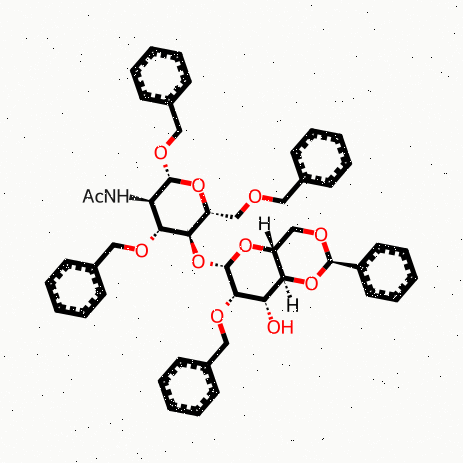 CC(=O)N[C@H]1[C@H](OCc2ccccc2)O[C@H](COCc2ccccc2)[C@@H](O[C@@H]2O[C@@H]3CO[C@@H](c4ccccc4)O[C@H]3[C@H](O)[C@@H]2OCc2ccccc2)[C@@H]1OCc1ccccc1